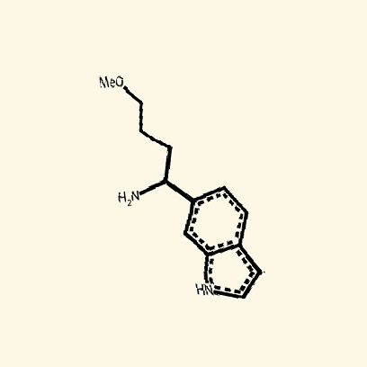 COCCCC(N)c1ccc2[c]c[nH]c2c1